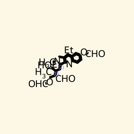 CCc1c2c(nc3ccc(OC=O)cc13)/C(=C/C(=C(\C=O)COC=O)C(C)(O)CC)N(C)C2